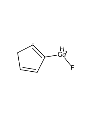 [F][GeH2][C]1=[C]CC=C1